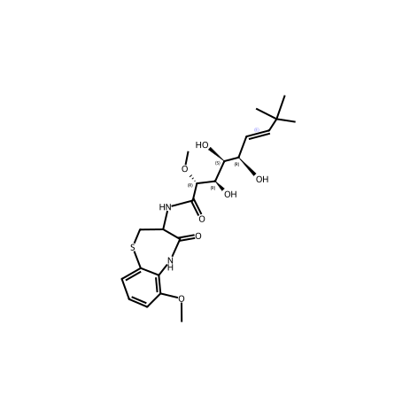 COc1cccc2c1NC(=O)C(NC(=O)[C@H](OC)[C@H](O)[C@@H](O)[C@H](O)/C=C/C(C)(C)C)CS2